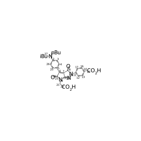 CCCCN(c1ccc(C2=C3C(=O)N(c4ccc(C(=O)O)cc4)N=C3N(CC(=O)O)C2=O)cc1)C(C)CC